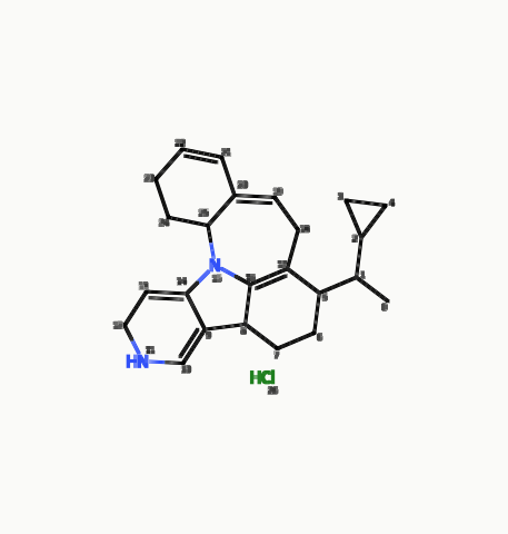 CC(C1CC1)C1CCC2C3=CNCC=C3N3C2=C1CC=C1C=CCCC13.Cl